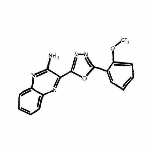 Nc1nc2ccccc2nc1-c1nnc(-c2ccccc2OC(F)(F)F)o1